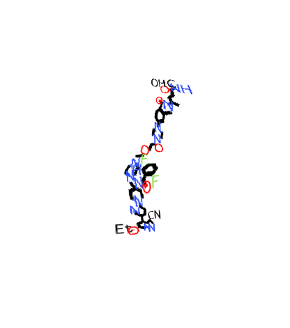 CCOc1cc(-c2ccc(N3CCC(CN4CCN(CCOCCC(=O)N5CCN(c6ccc7c(c6)CN(C(C)CCC(=O)NC=O)C7=O)CC5)CC4)(NC(=O)c4cc(F)ccc4F)CC3)nc2)c2c(C#N)cnn2c1